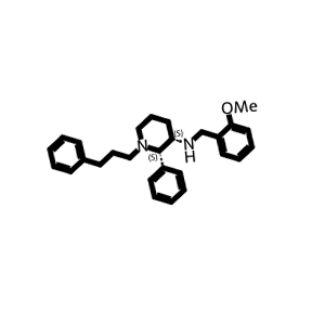 COc1ccccc1CN[C@H]1CCCN(CCCc2ccccc2)[C@H]1c1ccccc1